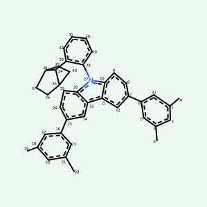 Cc1cc(C)cc(-c2ccc3c(c2)c2cc(-c4cc(C)cc(C)c4)ccc2n3-c2ccccc2C2C3CCC2CC3)c1